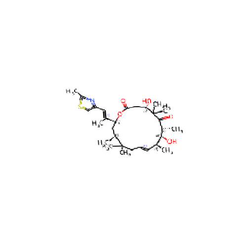 C/C(=C\c1csc(C)n1)[C@@H]1C[C@H](C)C(C)(C)C/C=C/[C@H](C)[C@H](O)[C@@H](C)C(=O)C(C)(C)[C@@H](O)CC(=O)O1